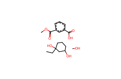 CCC1(O)CCCC(O)C1.CO.COC(=O)c1cccc(C(=O)O)c1